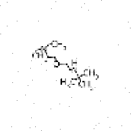 CCN(CC)CCOCCNC(C)(C)C